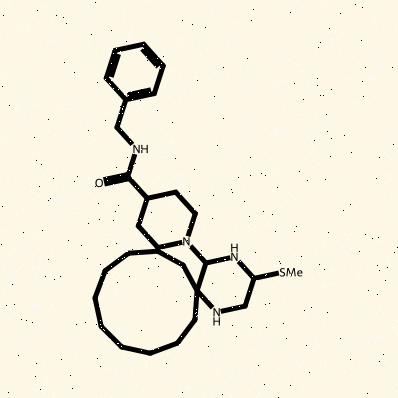 CSC1CNC2(CCCCCCCCCC2)C(N2CCC(C(=O)NCc3ccccc3)CC2)N1